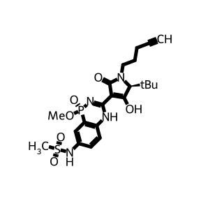 C#CCCCN1C(=O)C(C2=NP(=O)(OC)c3cc(NS(C)(=O)=O)ccc3N2)=C(O)[C@@H]1C(C)(C)C